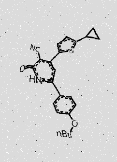 CCCCOc1ccc(-c2cc(-c3ccc(C4CC4)s3)c(C#N)c(=O)[nH]2)cc1